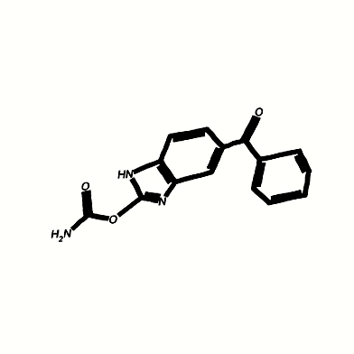 NC(=O)Oc1nc2cc(C(=O)c3ccccc3)ccc2[nH]1